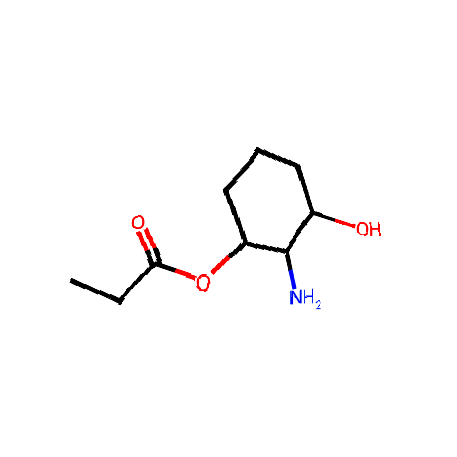 CCC(=O)OC1CCCC(O)C1N